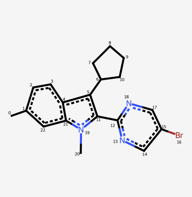 Cc1ccc2c(C3CCCC3)c(-c3ncc(Br)cn3)n(C)c2c1